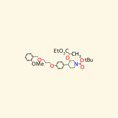 CCOC(=O)C(C)OC1CN(C(=O)OC(C)(C)C)CCC1c1ccc(OCCCOCc2ccccc2OC)cc1